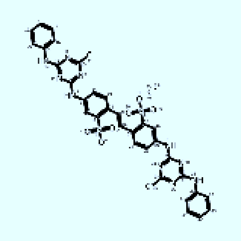 O=S(=O)([O-])c1cc(Nc2nc(Cl)nc(Nc3ccccc3)n2)ccc1C=Cc1ccc(Nc2nc(Cl)nc(Nc3ccccc3)n2)cc1S(=O)(=O)[O-].[K+].[K+]